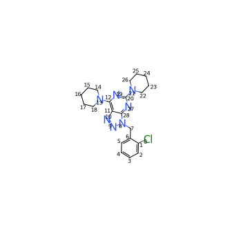 Clc1ccccc1Cn1nnc2c(N3CCCCC3)nc(N3CCCCC3)nc21